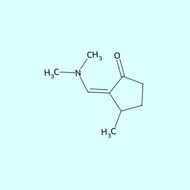 CC1CCC(=O)C1=CN(C)C